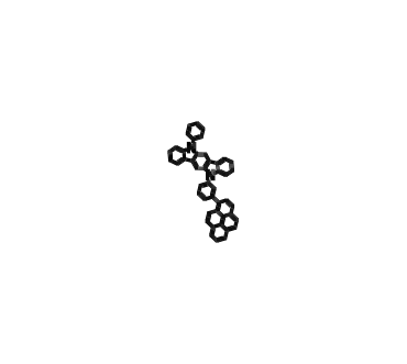 c1ccc(-n2c3ccccc3c3cc4c(cc32)c2ccccc2n4-c2cccc(-c3ccc4ccc5cccc6ccc3c4c56)c2)cc1